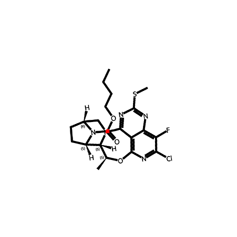 CCCCOC(=O)N1[C@@H]2CC[C@H]1[C@H]1[C@H](C)Oc3nc(Cl)c(F)c4nc(SC)nc(c34)N1C2